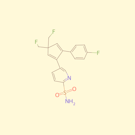 NS(=O)(=O)c1ccc(C2=CC(CF)(CF)C=C2c2ccc(F)cc2)cn1